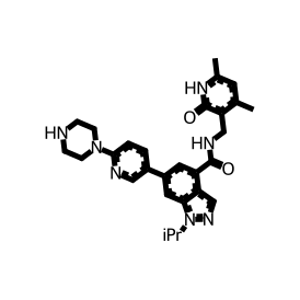 Cc1cc(C)c(CNC(=O)c2cc(-c3ccc(N4CCNCC4)nc3)cc3c2cnn3C(C)C)c(=O)[nH]1